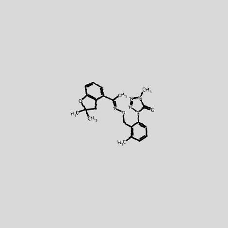 CC(=NOCc1c(C)cccc1-n1nnn(C)c1=O)c1cccc2c1CC(C)(C)O2